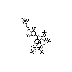 COc1cc(Cc2cnc(N(C(=O)OC(C)(C)C)C(=O)OC(C)(C)C)nc2N(C(=O)OC(C)(C)C)C(=O)OC(C)(C)C)cc(OC)c1OCCCOS(C)(=O)=O